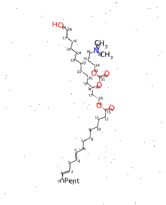 CCCCCC=CCC=CCCCCCCCC(=O)OCCC(CCCCCCCCCCO)OC(=O)OCCCN(C)C